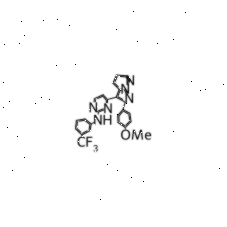 COc1ccc(-c2nn3ncccc3c2-c2ccnc(Nc3cccc(C(F)(F)F)c3)n2)cc1